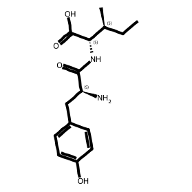 CC[C@H](C)[C@H](NC(=O)[C@@H](N)Cc1ccc(O)cc1)C(=O)O